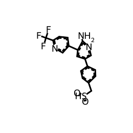 Nc1ncc(-c2ccc(C[SH](=O)=O)cc2)cc1-c1ccc(C(F)(F)F)nc1